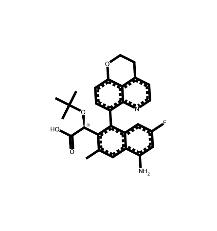 Cc1cc2c(N)cc(F)cc2c(-c2ccc3c4c(ccnc24)CCO3)c1[C@H](OC(C)(C)C)C(=O)O